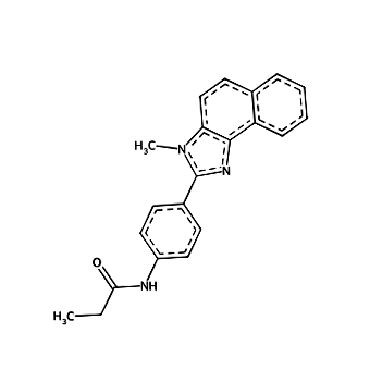 CCC(=O)Nc1ccc(-c2nc3c4ccccc4ccc3n2C)cc1